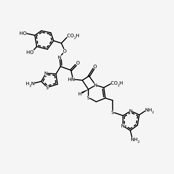 Nc1cc(N)nc(SCC2=C(C(=O)O)N3C(=O)C(NC(=O)/C(=N\OC(C(=O)O)c4ccc(O)c(O)c4)c4csc(N)n4)[C@H]3SC2)n1